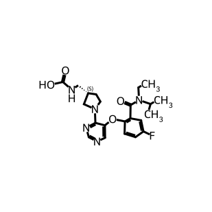 CCN(C(=O)c1cc(F)ccc1Oc1cncnc1N1CC[C@@H](CNC(=O)O)C1)C(C)C